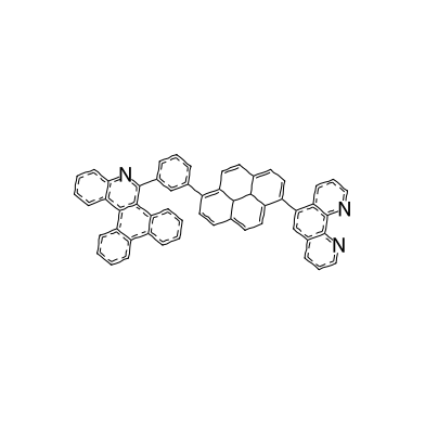 C1=CC2=C(c3cccc(-c4nc5ccccc5c5c6ccccc6c6ccccc6c45)c3)C=CC3=CC=C4C(c5cc6cccnc6c6ncccc56)=CC=C1C4C32